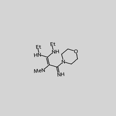 CCNC(NCC)=C(NC)C(=N)N1CCOCC1